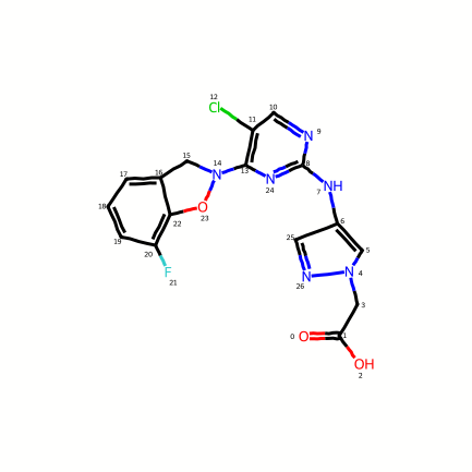 O=C(O)Cn1cc(Nc2ncc(Cl)c(N3Cc4cccc(F)c4O3)n2)cn1